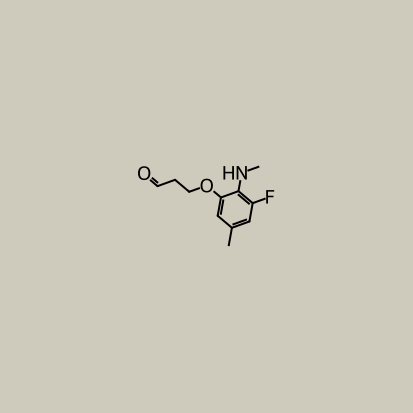 CNc1c(F)cc(C)cc1OCCC=O